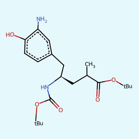 CC(C[C@H](Cc1ccc(O)c(N)c1)NC(=O)OC(C)(C)C)C(=O)OC(C)(C)C